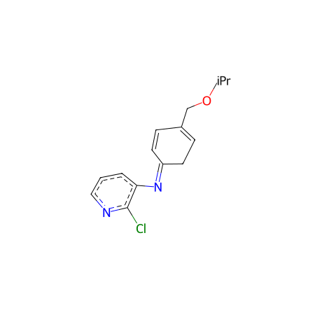 CC(C)OCC1=CCC(=Nc2cccnc2Cl)C=C1